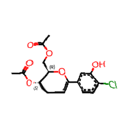 CC(=O)OC[C@H]1OC(c2ccc(Cl)c(O)c2)=CC[C@@H]1OC(C)=O